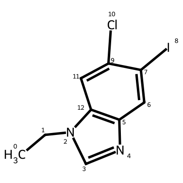 CCn1cnc2cc(I)c(Cl)cc21